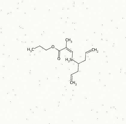 C=CCC(CC=C)[SiH2]C=C(C)C(=O)OCCC